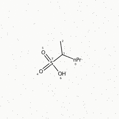 CC[CH]C(C)S(=O)(=O)O